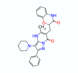 Cc1[nH]c2c(N3CCCCC3)c(-c3ccccc3)nn2c(=O)c1CC1Oc2ccccc2NC1=O